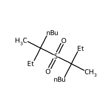 CCCCC(C)(CC)S(=O)(=O)C(C)(CC)CCCC